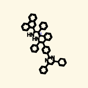 N=C(/C(=C1\NC(c2ccccc2)=C(c2ccc(-c3nc(-c4ccccc4)cc(C4C=CC=CC4)n3)cc2)c2ccccc21)c1ccccc1)c1cc2ccccc2c2ccccc12